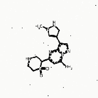 CN1C=C(c2cnn3c(N)cc(C4CNCCS4(=O)=O)nc23)CN1